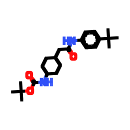 CC(C)(C)OC(=O)NC1CCC(CC(=O)Nc2ccc(C(C)(C)C)cc2)CC1